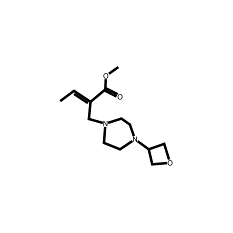 C/C=C(\CN1CCN(C2COC2)CC1)C(=O)OC